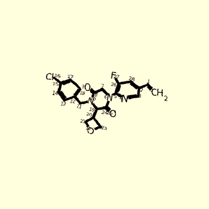 C=Cc1cnc(N2CC(=O)N(Cc3ccc(Cl)cc3)C(C3COC3)C2=O)c(F)c1